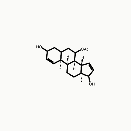 CC(=O)OC1CC2CC(O)C=C[C@]2(C)[C@@H]2CC[C@]3(C)C(O)C=C[C@H]3[C@H]12